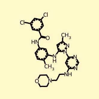 Cc1cc(Nc2cc(NC(=O)c3cc(Cl)cc(Cl)c3)ccc2C)n(-c2cc(NCCN3CCOCC3)ncn2)n1